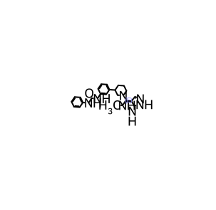 CN/C(=C1/C=NNC1=N)N1CCCC(c2cccc(NC(=O)Nc3ccccc3)c2)C1